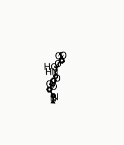 CS(=O)(=O)c1cccc(OCC(O)CNC2COC3(CCN(S(=O)(=O)c4cccc(-c5cnn(C6CC6)c5)c4)CC3)C2)c1